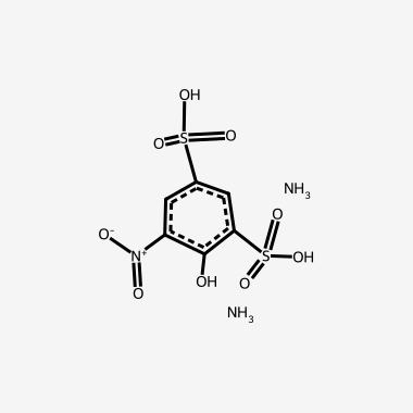 N.N.O=[N+]([O-])c1cc(S(=O)(=O)O)cc(S(=O)(=O)O)c1O